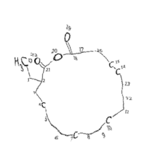 CCC1CCCCCCCCCCCCCCCC(=O)OC1=O